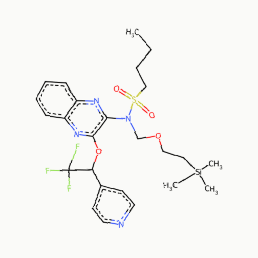 CCCCS(=O)(=O)N(COCC[Si](C)(C)C)c1nc2ccccc2nc1OC(c1ccncc1)C(F)(F)F